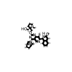 CN1CCC[C@@]1(CO)COc1nc(N2CC3CCC(C2)N3)c2cnc(-c3[nH]c(=O)cc4ccccc34)c(F)c2n1